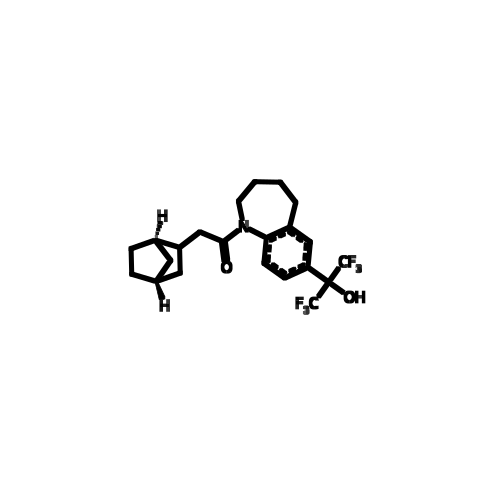 O=C(CC1C[C@@H]2CC[C@@H]1C2)N1CCCCc2cc(C(O)(C(F)(F)F)C(F)(F)F)ccc21